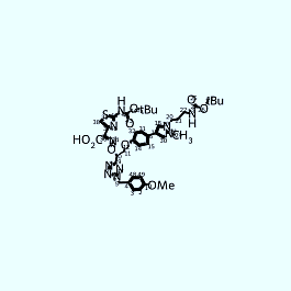 COc1ccc(Cn2nnc([C@H](COc3ccc(-c4cn(CCCNC(=O)OC(C)(C)C)[n+](C)c4)cc3)O/N=C(\C(=O)O)c3csc(NC(=O)OC(C)(C)C)n3)n2)cc1